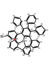 Brc1ccc(-c2c(-c3ccccc3)c(-c3ccccc3)c(-c3ccccc3)c(-c3ccccc3)c2-n2c3ccccc3c3ccccc32)cc1